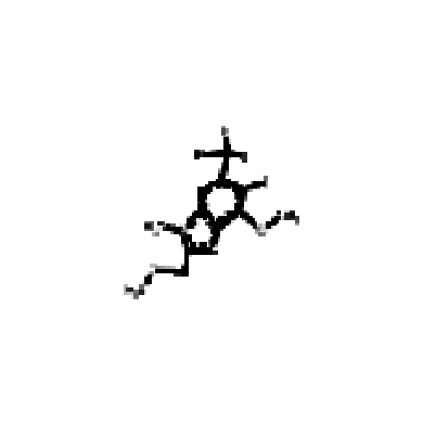 COCc1nc2c(OC)c(I)c(C(F)(F)F)cc2n1C